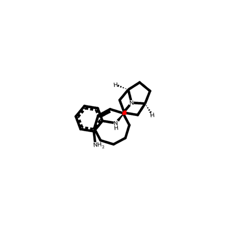 Nc1ccccc1N[C@H]1C[C@H]2CC[C@@H](C1)N2C1/C=C\CCCCC1